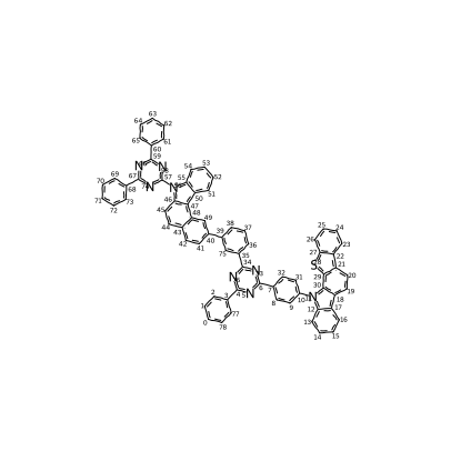 c1ccc(-c2nc(-c3ccc(-n4c5ccccc5c5ccc6c7ccccc7sc6c54)cc3)nc(-c3cccc(-c4ccc5ccc6c(c5c4)c4ccccc4n6-c4nc(-c5ccccc5)nc(-c5ccccc5)n4)c3)n2)cc1